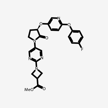 COC(=O)C1CN(c2ncc(N3CC[C@@H](Oc4ccc(Oc5ccc(F)cc5)nc4)C3=O)cn2)C1